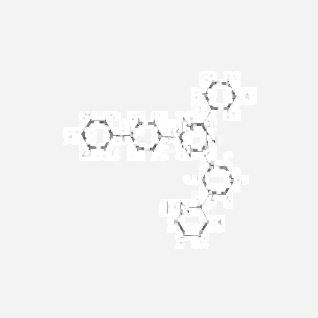 C1=CNC(c2cccc(-c3nc(-c4ccccc4)nc(-c4ccc(-c5ccccc5)cc4)n3)c2)C=C1